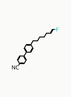 N#Cc1ccc(-c2ccc(CCCCCC=CF)cc2)cc1